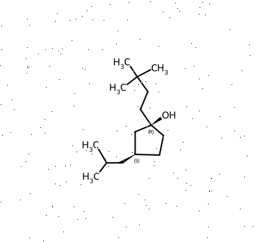 CC(C)C[C@@H]1CC[C@@](O)(CCC(C)(C)C)C1